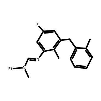 CCN(C)C=Nc1cc(F)cc(Cc2ccccc2C)c1C